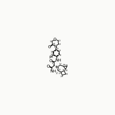 NC(=O)[C@H](C(=O)Nc1ccc(N2CCOCC2=O)cc1F)N(CC1CCC1)CC1CC1